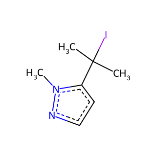 Cn1nccc1C(C)(C)I